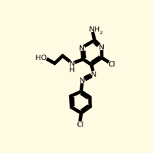 Nc1nc(Cl)c(N=Nc2ccc(Cl)cc2)c(NCCO)n1